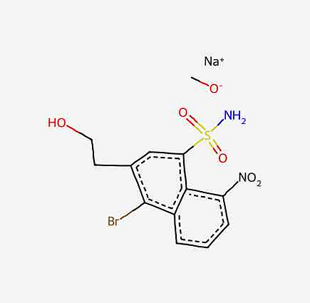 C[O-].NS(=O)(=O)c1cc(CCO)c(Br)c2cccc([N+](=O)[O-])c12.[Na+]